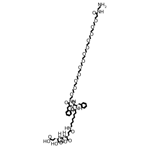 NCCNC(=O)CCOCCOCCOCCOCCOCCOCCOCCOCCOCCOCCOCCOCCNC(=O)C(Cc1ccccc1)NC(=O)[C@H](Cc1ccccc1)NC(=O)CCCCCCCNC(=O)CC[C@H](NC(=O)N[C@@H](CCC(=O)O)C(=O)O)C(=O)O